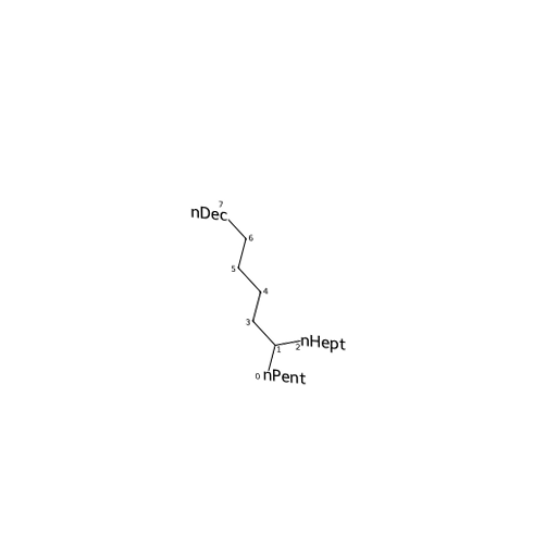 [CH2]CCCCC(CCCCCCC)CCCCCCCCCCCCCC